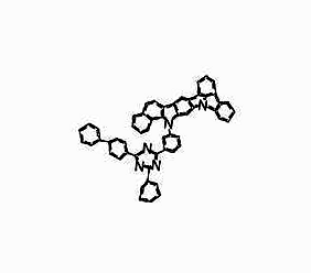 c1ccc(-c2ccc(-c3nc(-c4ccccc4)nc(-c4cccc(-n5c6cc7c(cc6c6ccc8ccccc8c65)c5cccc6c8ccccc8n7c65)c4)n3)cc2)cc1